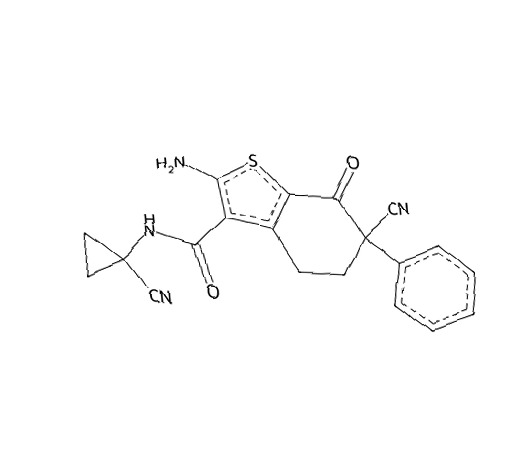 N#CC1(NC(=O)c2c(N)sc3c2CCC(C#N)(c2ccccc2)C3=O)CC1